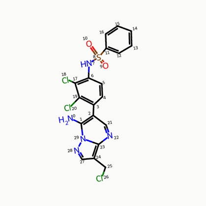 Nc1c(-c2ccc(NS(=O)(=O)c3ccccc3)c(Cl)c2Cl)cnc2c(CCl)cnn12